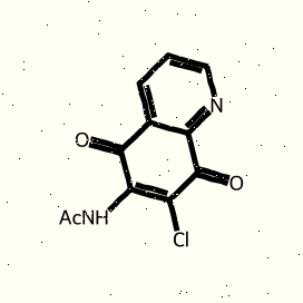 CC(=O)NC1=C(Cl)C(=O)c2ncccc2C1=O